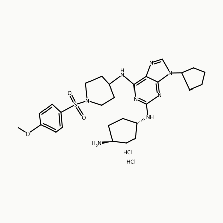 COc1ccc(S(=O)(=O)N2CCC(Nc3nc(N[C@H]4CC[C@H](N)CC4)nc4c3ncn4C3CCCC3)CC2)cc1.Cl.Cl